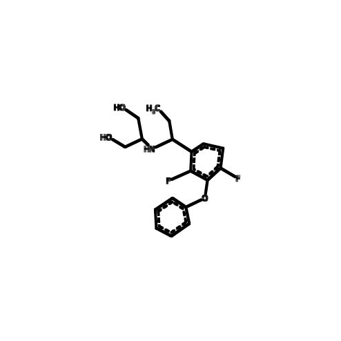 CCC(NC(CO)CO)c1ccc(F)c(Oc2ccccc2)c1F